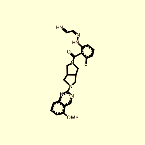 COc1cccc2nc(N3CC4CN(C(=O)c5c(F)cccc5N/N=C\C=N)CC4C3)ncc12